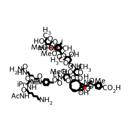 CCN(C(=O)OCc1ccc(NC(=O)[C@H](CCCNC(N)=O)NC(=O)[C@@H](NC(=O)[C@H](CCCCN)NC(C)=O)C(C)C)cc1)[C@H]1CO[C@@H](O[C@H]2[C@H](O[C@H]3C#C/C=C\C#C[C@]4(O)CC(=O)C(NC(=O)OC)=C3/C4=C\CSSc3ccc(C(=O)O)cc3)O[C@H](C)[C@@H](NO[C@H]3C[C@H](O)[C@H](SC(=O)c4c(C)c(I)c(O[C@@H]5O[C@@H](C)[C@H](O)[C@@H](OC)[C@H]5O)c(OC)c4OC)[C@@H](C)O3)[C@@H]2O)C[C@@H]1OC